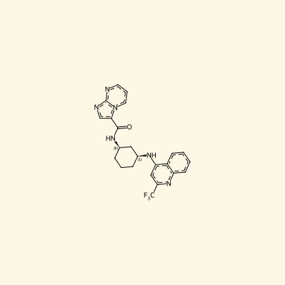 O=C(N[C@@H]1CCC[C@H](Nc2cc(C(F)(F)F)nc3ccccc23)C1)c1cnc2ncccn12